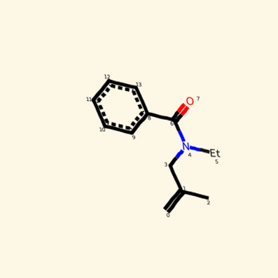 C=C(C)CN(CC)C(=O)c1ccccc1